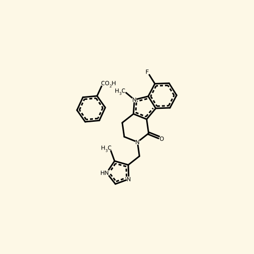 Cc1[nH]cnc1CN1CCc2c(c3cccc(F)c3n2C)C1=O.O=C(O)c1ccccc1